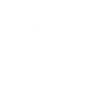 CC1(C(=O)O)CCC(=O)c2cc(C3CCCCC3)ccc21